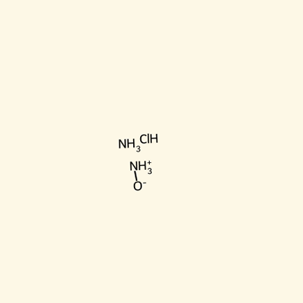 Cl.N.[NH3+][O-]